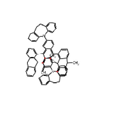 C=C/C=C\C(=C)CC1c2ccccc2C(C)c2cccc(-c3c4ccc(N5C6=C(CCC=C6)CCc6ccccc65)cc4c(-c4cccc5c4Cc4ccccc4C5)c4ccc(N5c6ccccc6CCc6ccccc65)cc34)c21